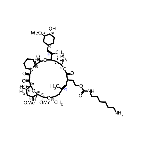 CO[C@H]1C[C@@H](C)C/C(C)=C/C(CCOC(=O)NCCCCCCN)C(=O)C[C@H](O)[C@@H](C)C(/C(C)=C/[C@@H]2CC[C@@H](O)[C@H](OC)C2)OC(=O)[C@@H]2CCCCN2C(=O)C(=O)[C@]2(O)O[C@H]1[C@@H](OC)C[C@H]2C